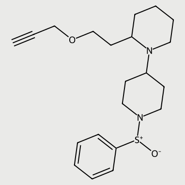 C#CCOCCC1CCCCN1C1CCN([S+]([O-])c2ccccc2)CC1